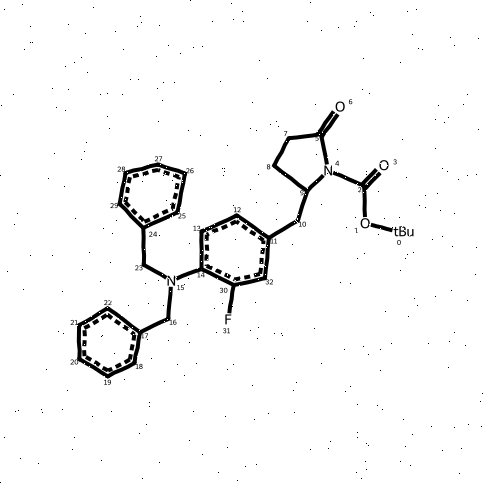 CC(C)(C)OC(=O)N1C(=O)CCC1Cc1ccc(N(Cc2ccccc2)Cc2ccccc2)c(F)c1